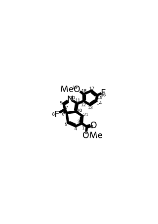 COC(=O)c1ccc2c(F)cnc(-c3ccc(F)cc3OC)c2c1